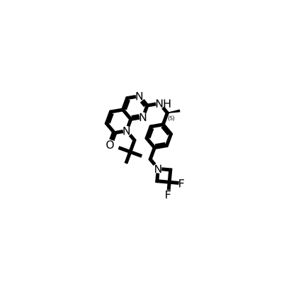 C[C@H](Nc1ncc2ccc(=O)n(CC(C)(C)C)c2n1)c1ccc(CN2CC(F)(F)C2)cc1